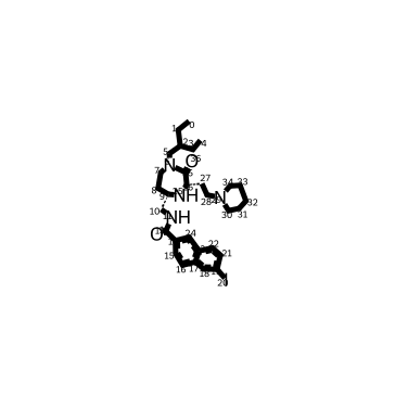 CCC(CC)CN1CC[C@@H](CNC(=O)c2ccc3cc(I)ccc3c2)N[C@@H](CCN2CCCCC2)C1=O